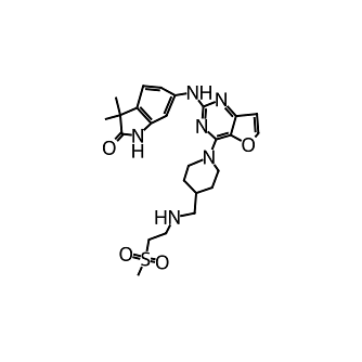 CC1(C)C(=O)Nc2cc(Nc3nc(N4CCC(CNCCS(C)(=O)=O)CC4)c4occc4n3)ccc21